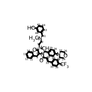 CN(CCN(C)C(=O)C(Cc1ccccc1)N(Cc1ccc(N2CCOCC2)cc1)C(=O)C=Cc1ccc(C(F)(F)F)cc1)Cc1cccc(O)c1